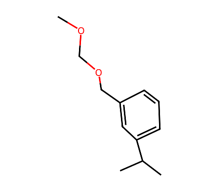 COCOCc1cccc(C(C)C)c1